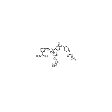 CCOC(=O)CS(=O)(=O)N(C/C=C/c1cccc(C(=N)N)c1)c1ccc(OC2CCN(CC(=O)OC)CC2)c(Cl)c1.Cl.Cl